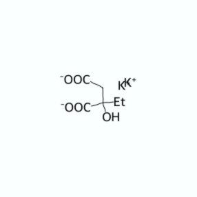 CCC(O)(CC(=O)[O-])C(=O)[O-].[K+].[K+]